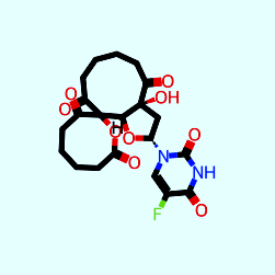 O=C1CCCCC(=O)C2(O1)C(=O)CCCCC(=O)[C@]1(O)C[C@H](n3cc(F)c(=O)[nH]c3=O)O[C@H]21